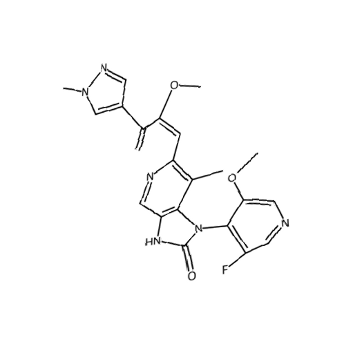 C=C(/C(=C\c1ncc2[nH]c(=O)n(-c3c(F)cncc3OC)c2c1C)OC)c1cnn(C)c1